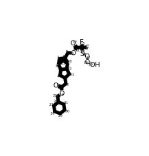 O=C(CC1CC2C3CC(COC(=O)C(F)(F)SOOO)C(C3)C2C1)OCC1CCCCC1